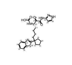 O=C(O)N[C@@H](CCCCC1(c2nc3ccccc3s2)CCCC1)C(=O)C(=O)Nc1cc[nH]n1